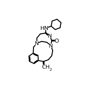 C=C1CCCN2CCN(CC/C(NC3CCCCC3)=N\C2=O)Cc2cccc1c2